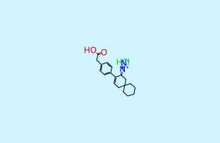 Cl.[N-]=[N+]=C1CC2(CC=C1c1ccc(CC(=O)O)cc1)CCCCC2